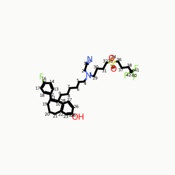 N#CCN(CCCCCCC1=C(c2ccc(F)cc2)CCCc2cc(O)ccc21)CCCCS(=O)(=O)CCCC(F)(F)F